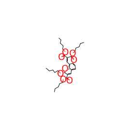 CCCCCOC(=O)C(=Cc1[c]c(C=C(C(=O)OCCCCC)C(=O)OCCCCC)ccc1)C(=O)OCCCCC